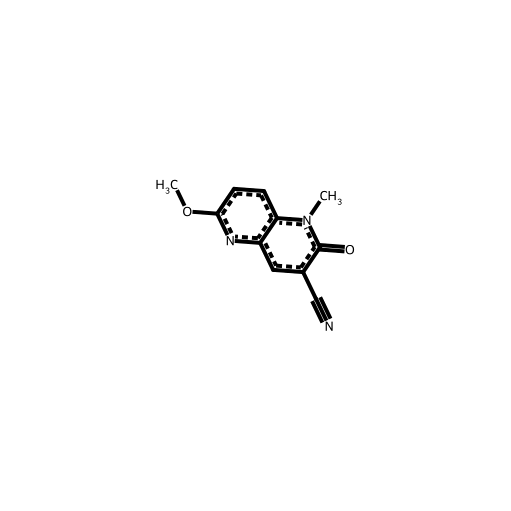 COc1ccc2c(cc(C#N)c(=O)n2C)n1